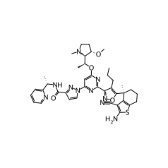 CCCc1c(-c2nc(O[C@@H](C)[C@@H]3[C@@H](OC)CCN3C)cc(-n3ccc(C(=O)N[C@@H](C)c4ccccn4)n3)n2)noc1[C@@]1(C)CCCc2sc(N)c(C#N)c21